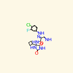 N=C/C(=N\Nc1ccc(Cl)c(F)c1)C(=O)NC1(C2CCC2)NC(=O)NC1=O